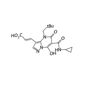 CC(C)(C)Cn1c(=O)c(C(=O)NC2CC2)c(O)n2ncc(/C=C/C(=O)O)c12